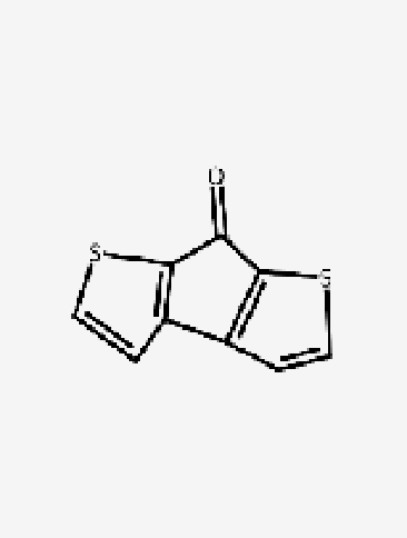 O=C1c2sccc2-c2ccsc21